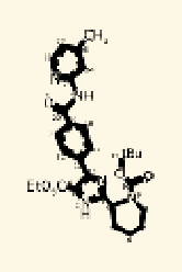 CCOC(=O)c1[nH]c(C2CCCCN2C(=O)OC(C)(C)C)nc1-c1ccc(C(=O)Nc2cc(C)ccn2)cc1